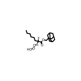 CCCCCCC(F)(SOOO)C(=O)OCC12CC3CC(CC(C3)C1)C2